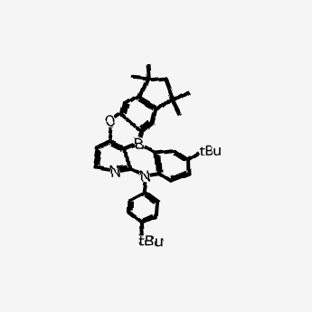 CC(C)(C)c1ccc(N2c3ccc(C(C)(C)C)cc3B3c4cc5c(cc4Oc4ccnc2c43)C(C)(C)CC5(C)C)cc1